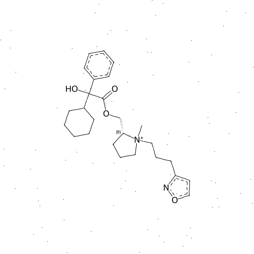 C[N+]1(CCCc2ccon2)CCC[C@@H]1COC(=O)C(O)(c1ccccc1)C1CCCCC1